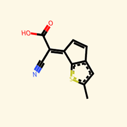 Cc1cc2c(s1)/C(=C(\C#N)C(=O)O)C=C2